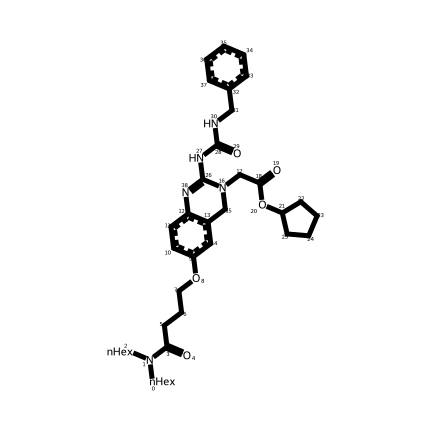 CCCCCCN(CCCCCC)C(=O)CCCOc1ccc2c(c1)CN(CC(=O)OC1CCCC1)C(NC(=O)NCc1ccccc1)=N2